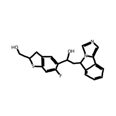 OCC1Cc2cc(C(O)CC3c4ccccc4-c4cncn43)c(F)cc2S1